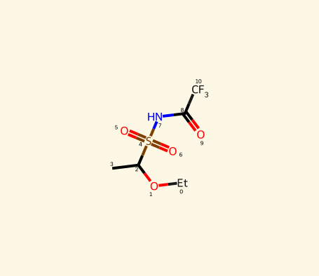 CCOC(C)S(=O)(=O)NC(=O)C(F)(F)F